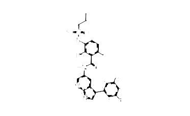 CCCS(=O)(=O)Nc1ccc(F)c(C(=O)Nc2cnc3[nH]cc(-c4cc(F)cc(F)c4)c3c2)c1F